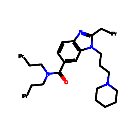 CC(C)CCN(CCC(C)C)C(=O)c1ccc2nc(CC(C)C)n(CCCN3CCCCC3)c2c1